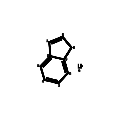 C1=Cc2ccccc2C1.[Li]